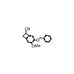 COc1cc2c(cc1OCc1ccccc1)C(C#N)C2